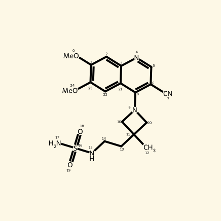 COc1cc2ncc(C#N)c(N3CC(C)(CCNS(N)(=O)=O)C3)c2cc1OC